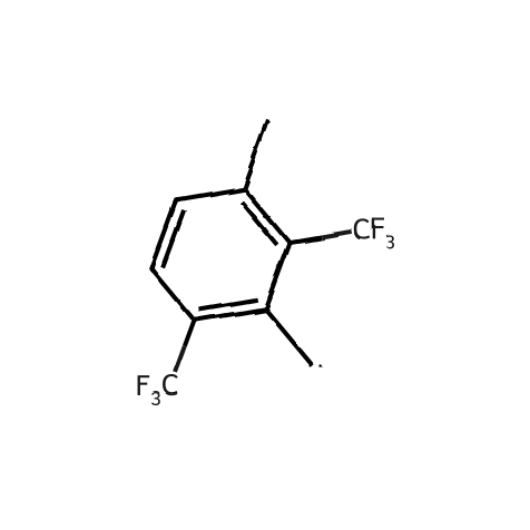 [CH2]c1c(C(F)(F)F)ccc(C)c1C(F)(F)F